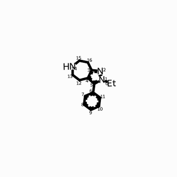 CCn1nc2c(c1-c1ccccc1)CCNCC2